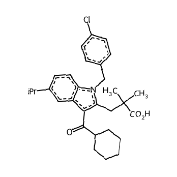 CC(C)c1ccc2c(c1)c(C(=O)C1CCCCC1)c(CC(C)(C)C(=O)O)n2Cc1ccc(Cl)cc1